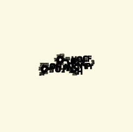 CC(C)C(NC(=O)[C@@]1(C(=O)[C@@H](N)Cc2cccc(C(=O)OCc3ccccc3)c2)CCCN1)C(O)C(F)(F)F